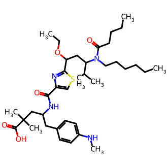 CCCCCCN(C(=O)CCCC)C(CC(OCC)c1nc(C(=O)NC(Cc2ccc(NC)cc2)CC(C)(C)C(=O)O)cs1)C(C)C